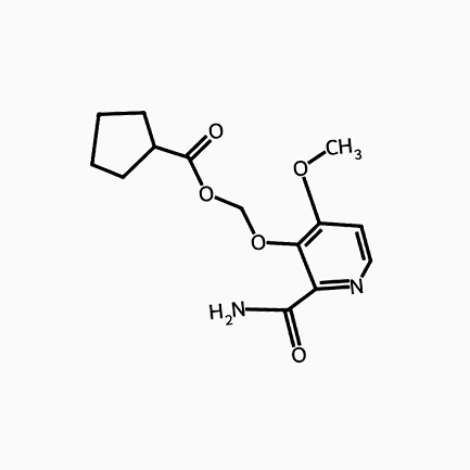 COc1ccnc(C(N)=O)c1OCOC(=O)C1CCCC1